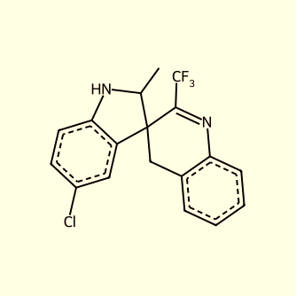 CC1Nc2ccc(Cl)cc2C12Cc1ccccc1N=C2C(F)(F)F